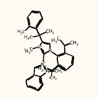 Cc1ccccc1C(C)(C)c1cn(-c2c(C(C)C)cccc2C(C)C)c(-[n+]2cc3ccccc3n2C)[n+]1C